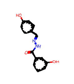 O=C(NN=Cc1ccc(O)cc1)c1cccc(O)c1